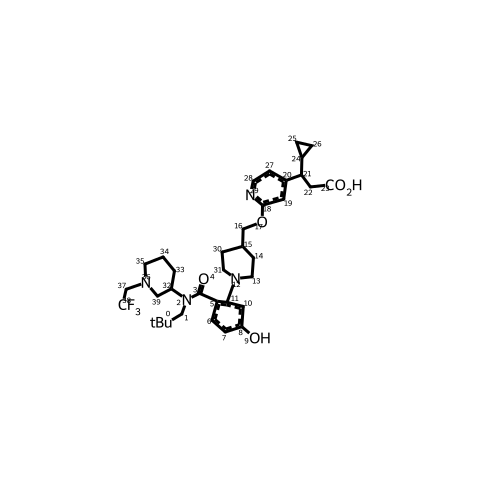 CC(C)(C)CN(C(=O)c1ccc(O)cc1N1CCC(COc2cc(C(CC(=O)O)C3CC3)ccn2)CC1)C1CCCN(CC(F)(F)F)C1